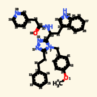 COc1ccc(Cn2c(CCc3ccccc3)nnc2C(Cc2c[nH]c3ccccc23)NC(=O)Cc2cccnc2)cc1